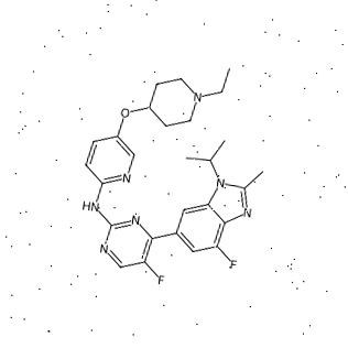 CCN1CCC(Oc2ccc(Nc3ncc(F)c(-c4cc(F)c5nc(C)n(C(C)C)c5c4)n3)nc2)CC1